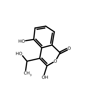 CC(O)c1c(O)oc(=O)c2cccc(O)c12